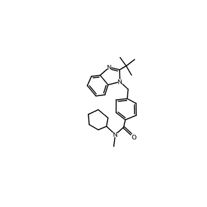 CN(C(=O)c1ccc(Cn2c(C(C)(C)C)nc3ccccc32)cc1)C1CCCCC1